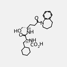 O=C(O)N[C@@H](CC1CCCCC1)C(=O)N[C@H](CO)CCC(=O)N1CCCCc2ccccc21